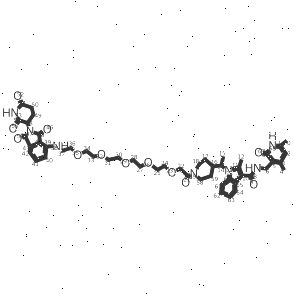 Cc1cc(C)c(CNC(=O)c2c(C)n(C(C)C3CCN(C(=O)COCCOCCOCCOCCOCCNc4cccc5c4C(=O)N(C4CCC(=O)NC4=O)C5=O)CC3)c3ccccc23)c(=O)[nH]1